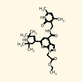 CCOC(=O)Cn1ncc2c(C(=O)NCc3c(C)cc(C)[nH]c3=O)cc(C3=CC(C)(C)NC(C)(C)C3)nc21